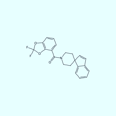 O=C(c1cccc2c1OC(F)(F)O2)N1CCC2(C=Cc3ccccc32)CC1